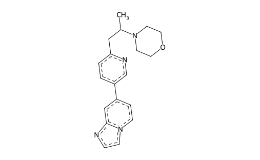 CC(Cc1ccc(-c2ccn3ccnc3c2)cn1)N1CCOCC1